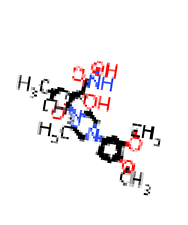 COc1ccc(N2CCN(C(=O)[C@@H](CC(C)C)[C@H](O)C(=O)NO)C(C)C2)cc1OC